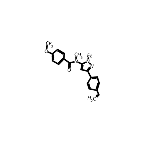 C=Cc1ccc(-c2cc(N(C)C(=O)c3ccc(OC(F)(F)F)cc3)n(CC)n2)cc1